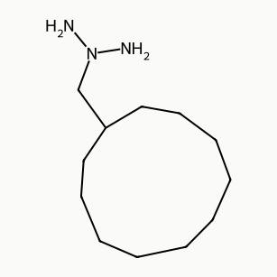 NN(N)CC1CCCCCCCCCC1